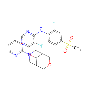 CS(=O)(=O)c1ccc(Nc2ncnc(OC3C4COCC3CN(c3ccccn3)C4)c2F)c(F)c1